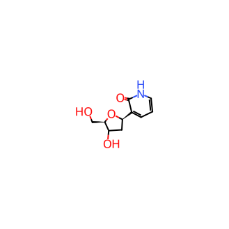 O=c1[nH]cccc1[C@H]1CC(O)[C@@H](CO)O1